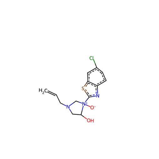 C=CCN1CC(O)[N+]([O-])(c2nc3ccc(Cl)cc3s2)C1